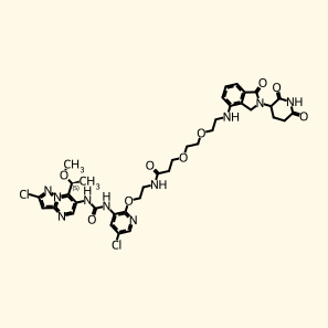 CO[C@@H](C)c1c(NC(=O)Nc2cc(Cl)cnc2OCCNC(=O)CCOCCOCCNc2cccc3c2CN(C2CCC(=O)NC2=O)C3=O)cnc2cc(Cl)nn12